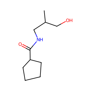 CC(CO)CNC(=O)C1CCCC1